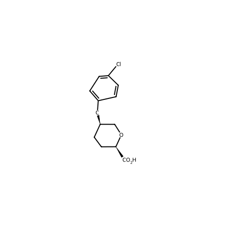 O=C(O)[C@H]1CC[C@@H](Cc2ccc(Cl)cc2)CO1